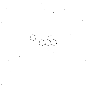 Nc1c2ccccc2c(N)c2cc(-c3ccccc3)ccc12